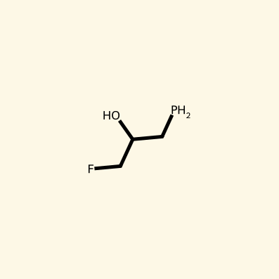 OC(CF)CP